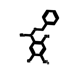 CC(C)(C)N(OCc1ccccc1)c1cc(Cl)c(N)cc1O